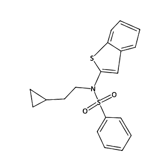 O=S(=O)(c1ccccc1)N(CCC1CC1)c1cc2ccccc2s1